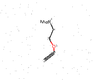 C#COCCNC